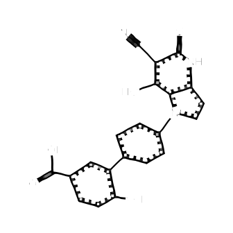 N#Cc1c(O)c2c(ccn2-c2ccc(-c3cc(C(=O)O)ccc3O)cc2)[nH]c1=O